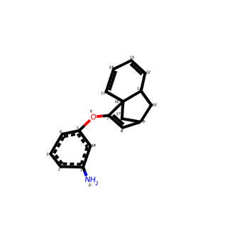 Nc1cccc(OC2=CC3CC4C=CC=CC24C3)c1